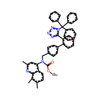 Cc1cc(N(Cc2ccc(-c3ccccc3-c3nnnn3C(c3ccccc3)(c3ccccc3)c3ccccc3)cc2)C(=O)OC(C)(C)C)c2ccc(C)c(C)c2n1